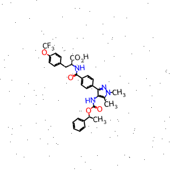 Cc1c(NC(=O)OC(C)c2ccccc2)c(-c2ccc(C(=O)NC(Cc3ccc(OC(F)(F)F)cc3)C(=O)O)cc2)nn1C